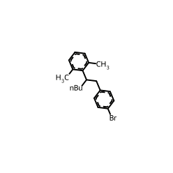 CCCCC(Cc1ccc(Br)cc1)c1c(C)cccc1C